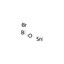 [B].[Br].[O].[Sn]